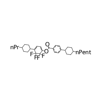 CCCCCC1CCC(c2ccc(C(=O)OC3=CC=C(C4CCC(CCC)CC4)C(F)(F)C3(F)F)cc2)CC1